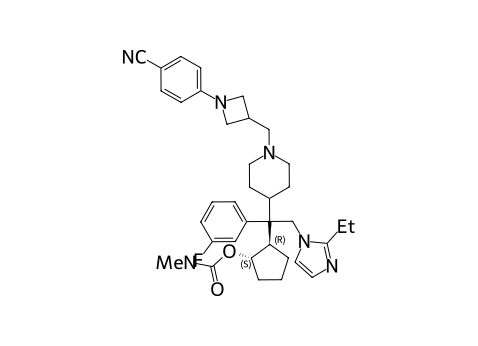 CCc1nccn1CC(c1cccc(F)c1)(C1CCN(CC2CN(c3ccc(C#N)cc3)C2)CC1)[C@H]1CCC[C@@H]1OC(=O)NC